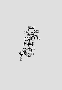 C=CC1(OC(=O)C(F)(F)C(CC)OC(=O)C(=C)C)CCCCC1